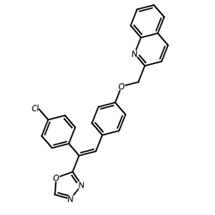 Clc1ccc(/C(=C\c2ccc(OCc3ccc4ccccc4n3)cc2)c2nnco2)cc1